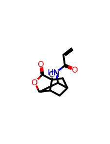 C=CC(=O)NC1C2CC3C1OC(=O)C3(C#N)C2